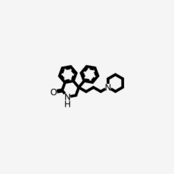 O=C1NCC(CCCN2CCCCC2)(c2ccccc2)c2ccccc21